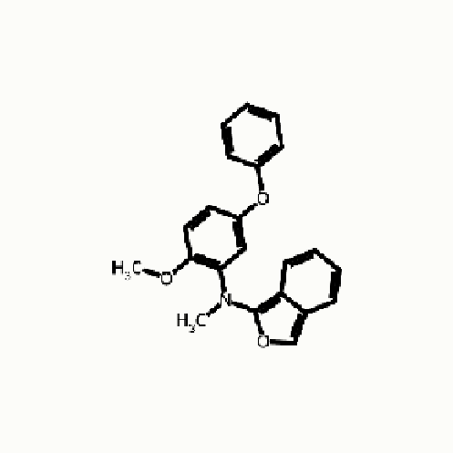 COc1ccc(Oc2ccccc2)cc1N(C)c1occ2ccccc12